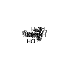 Cl.N=C(N)c1cccc(NC(C(=O)NCC(=O)NC2CCN(Cc3ccccc3)CC2)c2ccccn2)c1